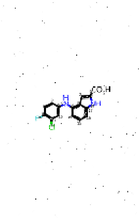 O=C(O)c1cc2c(Nc3ccc(F)c(Cl)c3)cccc2[nH]1